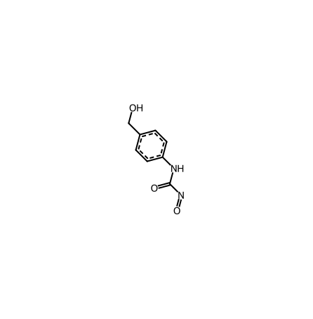 O=NC(=O)Nc1ccc(CO)cc1